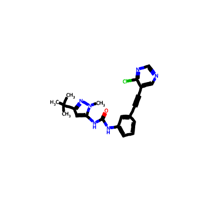 Cn1nc(C(C)(C)C)cc1NC(=O)Nc1cccc(C#Cc2cncnc2Cl)c1